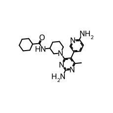 Cc1nc(N)nc(N2CCCC(NC(=O)C3CCCCC3)C2)c1-c1ccc(N)nc1